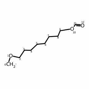 [CH2]OCCCCCCCCO[C]=O